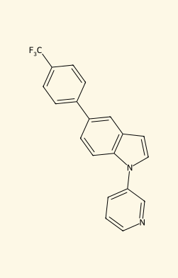 FC(F)(F)c1ccc(-c2ccc3c(ccn3-c3cccnc3)c2)cc1